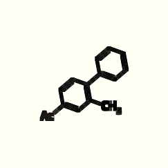 CC(=O)c1ccc(-c2ccccc2)c(C)c1